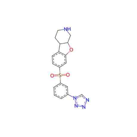 O=S(=O)(c1cccc(-n2cnnn2)c1)c1ccc2c(c1)OC1CNCCC21